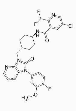 COc1cc(-n2c(=O)n(C[C@H]3CC[C@H](NC(=O)c4cc(Cl)cnc4C(F)F)CC3)c3ncccc32)ccc1F